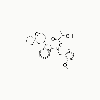 COc1ccsc1CN(CC[C@@]1(c2ccccn2)CCOC2(CCCC2)C1)OC(=O)C(C)O